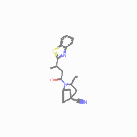 CCC1CC2(C#N)CC(C2)N1C(=O)CC(C)c1nc2ccccc2s1